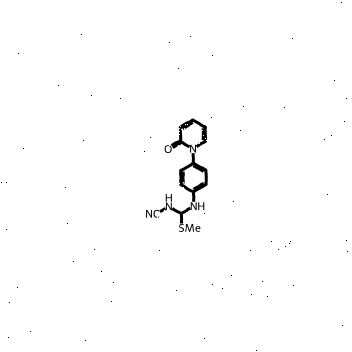 CSC(NC#N)Nc1ccc(-n2ccccc2=O)cc1